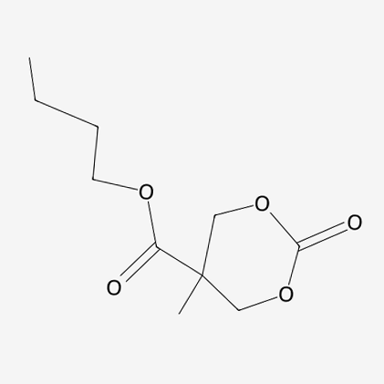 CCCCOC(=O)C1(C)COC(=O)OC1